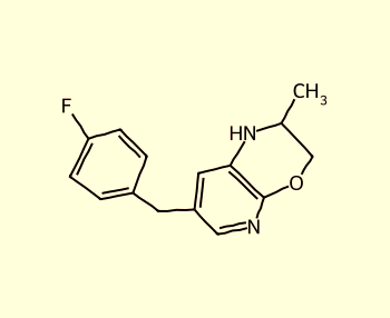 CC1COc2ncc(Cc3ccc(F)cc3)cc2N1